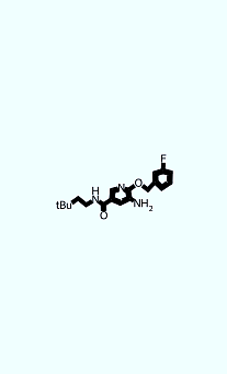 CC(C)(C)CCNC(=O)c1cnc(OCc2cccc(F)c2)c(N)c1